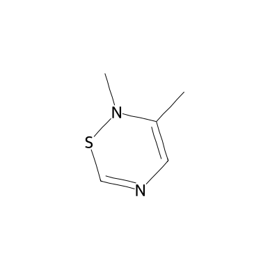 CC1=CN=CSN1C